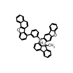 CC1(C)c2ccccc2-c2cccc(N(c3cccc(-c4cccc5oc6c7ccccc7ccc6c45)c3)c3ccc4oc5ccccc5c4c3)c21